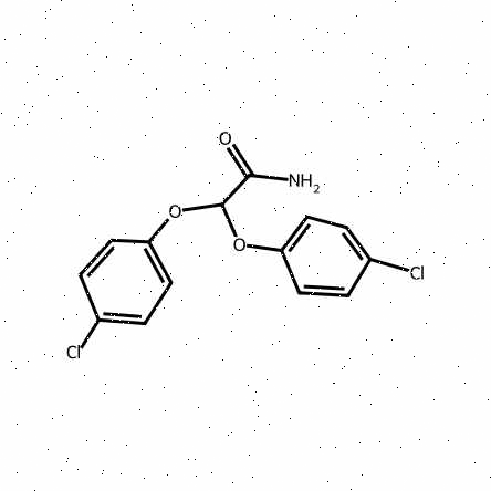 NC(=O)C(Oc1ccc(Cl)cc1)Oc1ccc(Cl)cc1